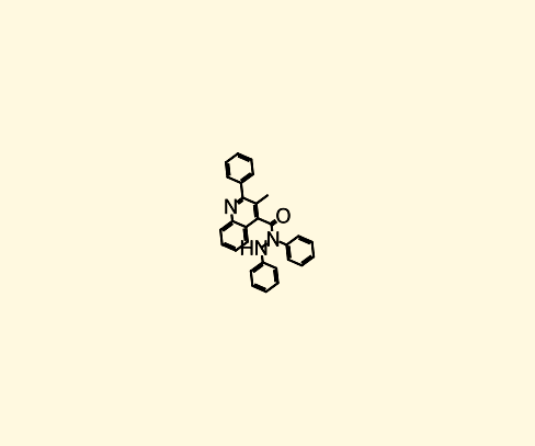 Cc1c(-c2ccccc2)nc2ccccc2c1C(=O)N(Nc1ccccc1)c1ccccc1